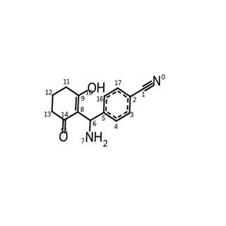 N#Cc1ccc(C(N)C2=C(O)CCCC2=O)cc1